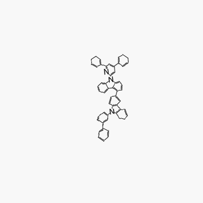 C1=CC(c2cc(C3=CCCC=C3)nc(-n3c4ccccc4c4c(-c5ccc6c(c5)c5c(n6-c6cccc(-c7ccccc7)c6)CCC=C5)cccc43)c2)=CCC1